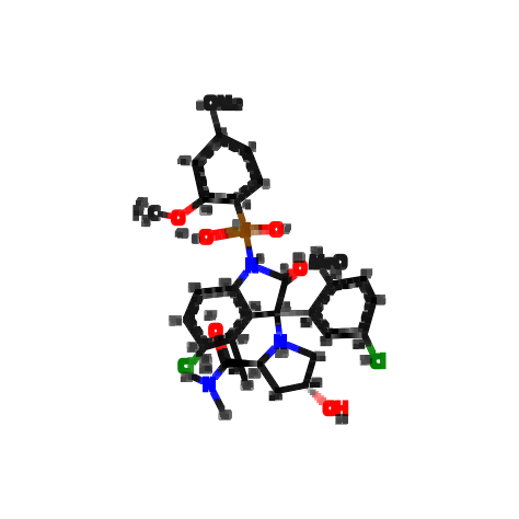 COc1ccc(S(=O)(=O)N2C(=O)C(c3cc(Cl)ccc3OC)(N3C[C@H](O)C[C@H]3C(=O)N(C)C)c3c2ccc(Cl)c3C)c(OC(F)(F)F)c1